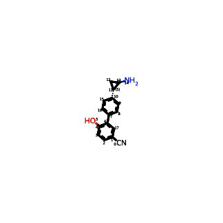 N#Cc1ccc(O)c(-c2ccc([C@@H]3C[C@H]3N)cc2)c1